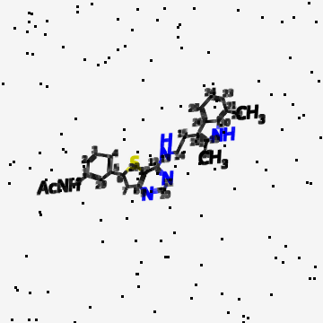 CC(=O)Nc1cccc(C2Cc3ncnc(NCCc4c(C)[nH]c5c(C)cccc45)c3S2)c1